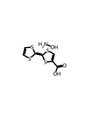 NO.O=C(O)C1=CSC(=C2SC=CS2)S1